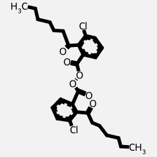 CCCCCCC(=O)c1c(Cl)cccc1C(=O)OOC(=O)c1cccc(Cl)c1C(=O)CCCCCC